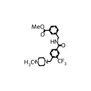 COC(=O)c1cccc(CNC(=O)c2ccc(CN3CCN(C)CC3)c(C(F)(F)F)c2)c1